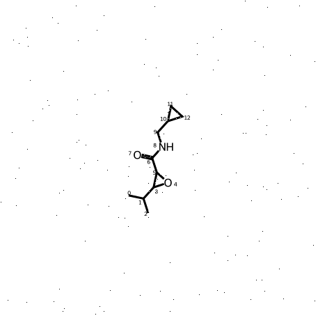 CC(C)C1OC1C(=O)NCC1CC1